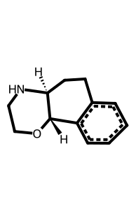 c1ccc2c(c1)CC[C@@H]1NCCO[C@@H]21